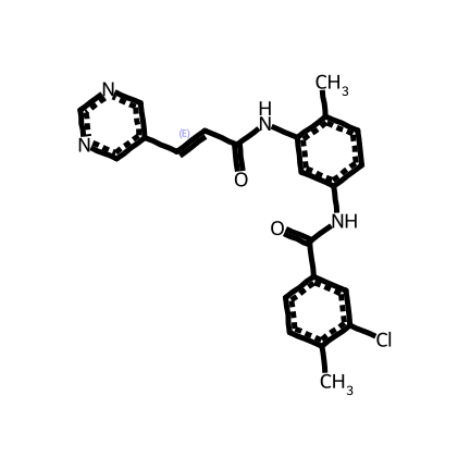 Cc1ccc(C(=O)Nc2ccc(C)c(NC(=O)/C=C/c3cncnc3)c2)cc1Cl